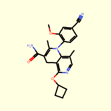 COc1cc(C#N)ccc1N1C(C)=C(C(N)=O)Cc2c(OC3CCC3)ncc(C)c21